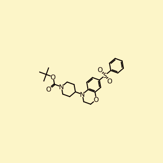 CC(C)(C)OC(=O)N1CCC(N2CCOc3cc(S(=O)(=O)c4ccccc4)ccc32)CC1